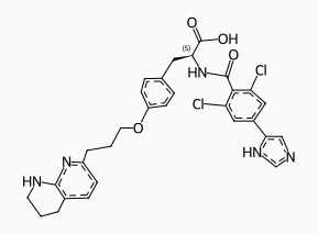 O=C(N[C@@H](Cc1ccc(OCCCc2ccc3c(n2)NCCC3)cc1)C(=O)O)c1c(Cl)cc(-c2cnc[nH]2)cc1Cl